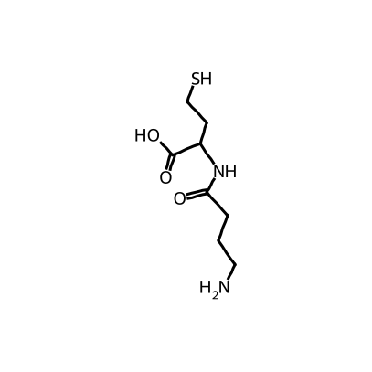 NCCCC(=O)NC(CCS)C(=O)O